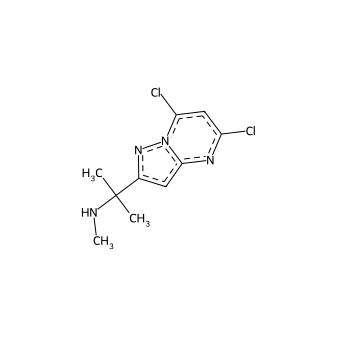 CNC(C)(C)c1cc2nc(Cl)cc(Cl)n2n1